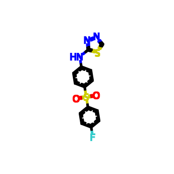 O=S(=O)(c1ccc(F)cc1)c1ccc(Nc2nncs2)cc1